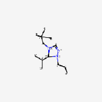 CCCN1N=CN(CC(C)(C)C)C1C(C)C